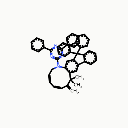 C=C1/C=C\C=C/CN(c2nc(-c3ccccc3)nc(-c3ccccc3)n2)c2cc3c(cc2C1(C)C)-c1ccccc1C31c2ccccc2-c2ccccc21